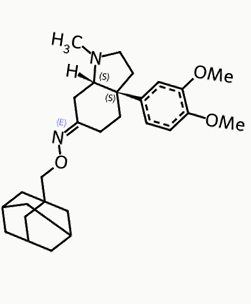 COc1ccc([C@@]23CC/C(=N\OCC45CC6CC(CC(C6)C4)C5)C[C@@H]2N(C)CC3)cc1OC